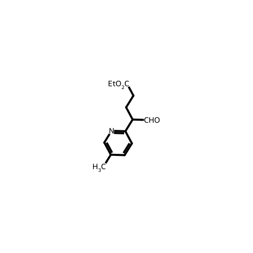 CCOC(=O)CCC(C=O)c1ccc(C)cn1